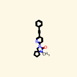 CN1C(=O)N(c2ccc(C#Cc3ccccc3)cn2)CC12CCCC2